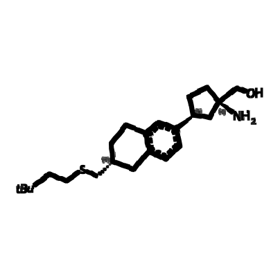 CC(C)(C)CCSC[C@@H]1CCc2cc([C@H]3CC[C@](N)(CO)C3)ccc2C1